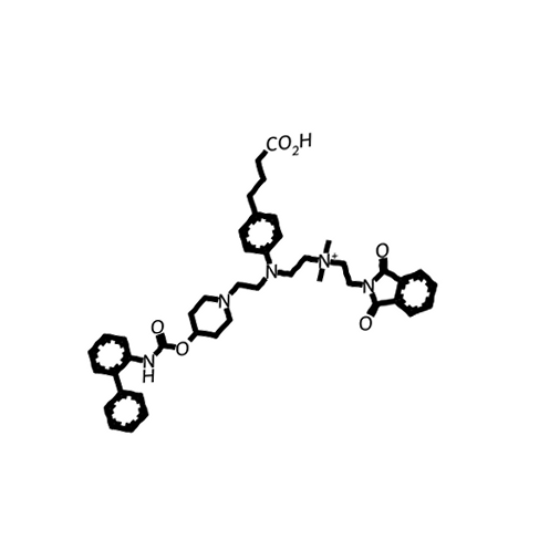 C[N+](C)(CCN1C(=O)c2ccccc2C1=O)CCN(CCN1CCC(OC(=O)Nc2ccccc2-c2ccccc2)CC1)c1ccc(CCCC(=O)O)cc1